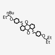 CCCCC(CC)COc1ccc(Sc2cccc3c2C(=O)c2cccc(Sc4ccc(OCC(CC)CC)cc4)c2C3=O)cc1